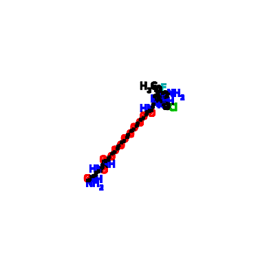 Cc1cc(F)cc(-c2cnc(NCCNC(=O)CCOCCOCCOCCOCCOCCOCCOCCOCCC(=O)NCC(=O)NCCCCNC(N)=O)c(-c3nc4ccc(Cl)cc4[nH]3)c2N2CCC(N)CC2)c1